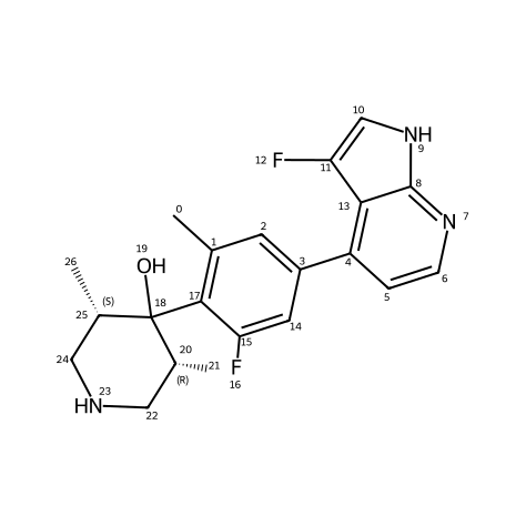 Cc1cc(-c2ccnc3[nH]cc(F)c23)cc(F)c1C1(O)[C@H](C)CNC[C@@H]1C